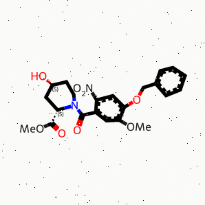 COC(=O)[C@@H]1C[C@@H](O)CCN1C(=O)c1cc(OC)c(OCc2ccccc2)cc1[N+](=O)[O-]